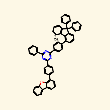 C[C@@H]1CC=CC2=C1c1c(-c3ccc(-c4nc(-c5ccccc5)nc(-c5ccc(-c6cccc7c6oc6ccccc67)cc5)n4)cc3)cccc1C2(c1ccccc1)c1ccccc1